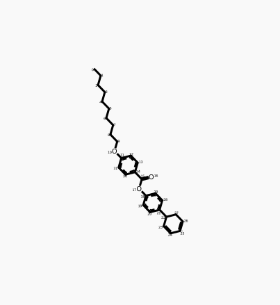 CCCCCCCCCCOc1ccc(C(=O)Oc2ccc(C3C=C[C]=CC3)cc2)cc1